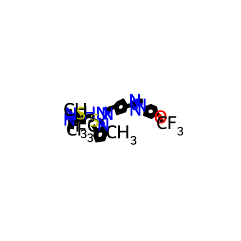 Cc1cccc(C)c1/N=C(/N/N=C/c1ccc(-c2ncn(-c3ccc(OC(F)(F)F)cc3)n2)cc1)SCc1cc2c(C(F)(F)F)nn(C)c2s1